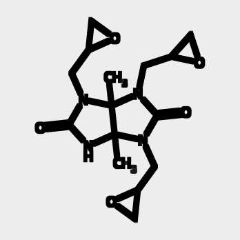 CC12NC(=O)N(CC3CO3)C1(C)N(CC1CO1)C(=O)N2CC1CO1